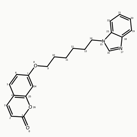 O=c1ccc2ccc(OCCCCCCn3cnc4ccccc43)cc2o1